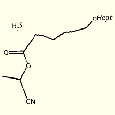 CCCCCCCCCCCC(=O)OC(C)C#N.S